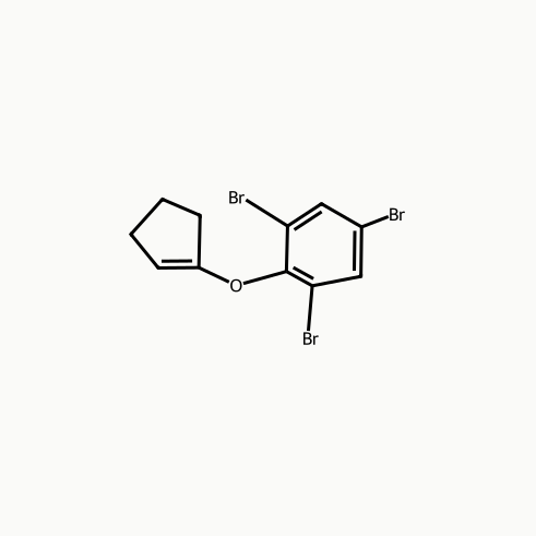 Brc1cc(Br)c(OC2=CCCC2)c(Br)c1